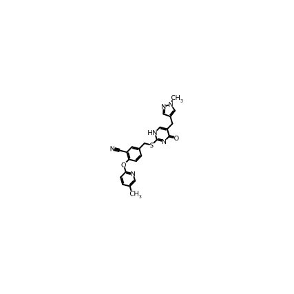 Cc1ccc(Oc2ccc(CSc3nc(=O)c(Cc4cnn(C)c4)c[nH]3)cc2C#N)nc1